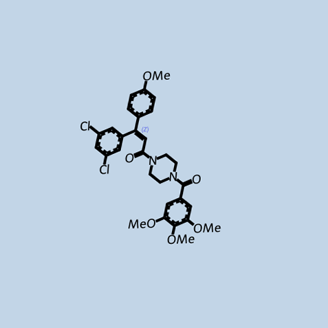 COc1ccc(/C(=C/C(=O)N2CCN(C(=O)c3cc(OC)c(OC)c(OC)c3)CC2)c2cc(Cl)cc(Cl)c2)cc1